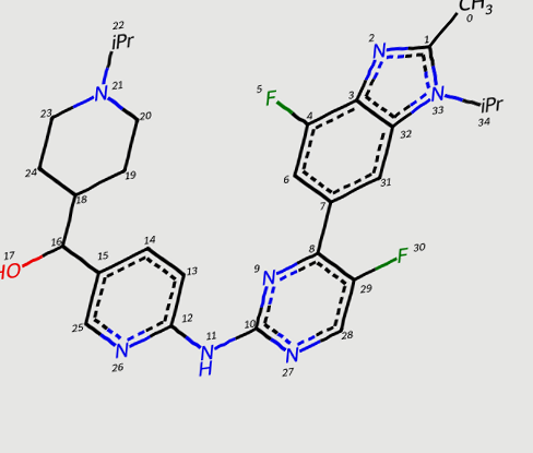 Cc1nc2c(F)cc(-c3nc(Nc4ccc(C(O)C5CCN(C(C)C)CC5)cn4)ncc3F)cc2n1C(C)C